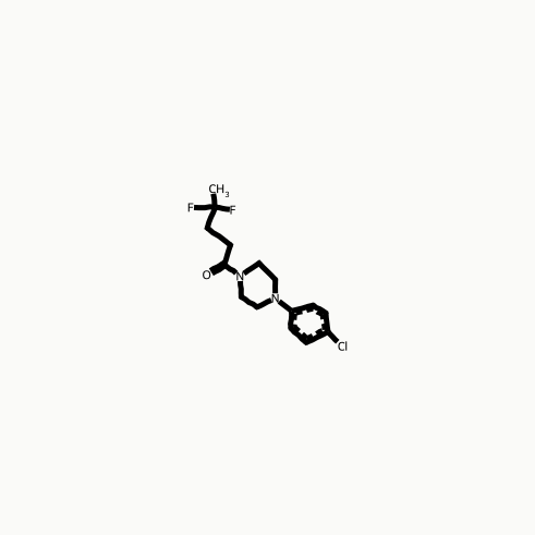 CC(F)(F)CCC(=O)N1CCN(c2ccc(Cl)cc2)CC1